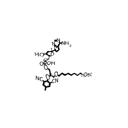 CCCCCCCCCCCCCCCCCCOC[C@H](COP(=O)(O)OC[C@H]1O[C@@](C)(c2ccc3c(N)ncnn23)C[C@@H]1O)Oc1c(C#N)cc(C)cc1C#N